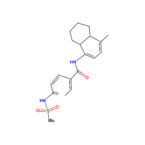 C=C(/C=C\C(=C/C)C(=O)NC1=CC=C(C)C2CCCCC12)NS(=O)(=O)C(C)(C)C